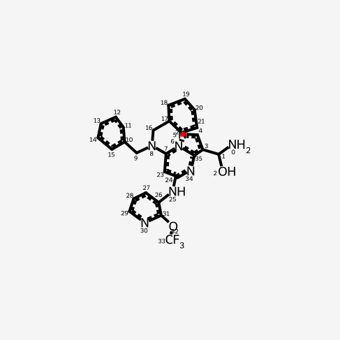 NC(O)c1cnn2c(N(Cc3ccccc3)Cc3ccccc3)cc(Nc3cccnc3OC(F)(F)F)nc12